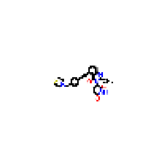 Cc1nc2cccc(C#Cc3ccc(CN4CCSCC4)cc3)c2c(=O)n1C1CCC(=O)NC1=O